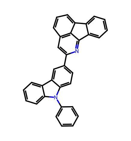 c1ccc(-n2c3ccccc3c3cc(-c4cc5cccc6c5c(n4)-c4ccccc4-6)ccc32)cc1